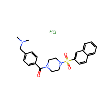 CN(C)Cc1ccc(C(=O)N2CCN(S(=O)(=O)c3ccc4ccccc4c3)CC2)cc1.Cl